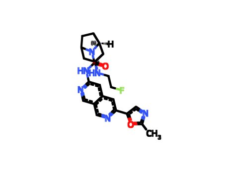 Cc1ncc(-c2cc3cc(NC(=O)N4C5CC[C@H]4C[C@@H](NCCF)C5)ncc3cn2)o1